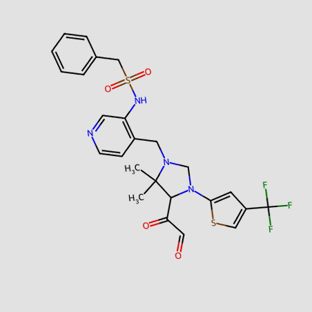 CC1(C)C(C(=O)C=O)N(c2cc(C(F)(F)F)cs2)CN1Cc1ccncc1NS(=O)(=O)Cc1ccccc1